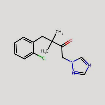 CC(C)(Cc1ccccc1Cl)C(=O)Cn1cncn1